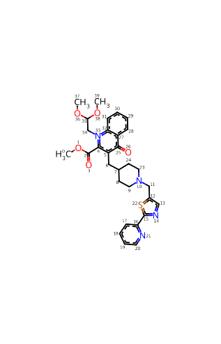 COC(=O)c1c(CC2CCN(Cc3cnc(-c4ccccn4)s3)CC2)c(=O)c2ccccc2n1CC(OC)OC